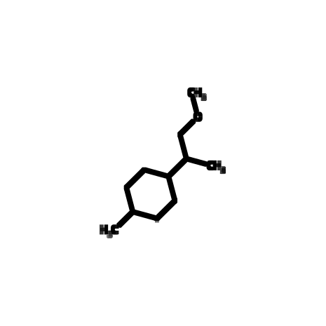 COCC(C)C1C[CH]C(C)CC1